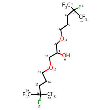 OC(COCCCC(F)(C(F)(F)F)C(F)(F)F)COCCCC(F)(C(F)(F)F)C(F)(F)F